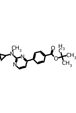 CN(c1nccc(-c2ccc(C(=O)OC(C)(C)C)cc2)n1)C1CC1